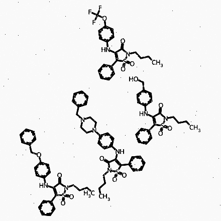 CCCCN1C(=O)C(Nc2ccc(CO)cc2)=C(c2ccccc2)S1(=O)=O.CCCCN1C(=O)C(Nc2ccc(N3CCN(Cc4ccccc4)CC3)cc2)=C(c2ccccc2)S1(=O)=O.CCCCN1C(=O)C(Nc2ccc(OC(F)(F)F)cc2)=C(c2ccccc2)S1(=O)=O.CCCCN1C(=O)C(Nc2ccc(OCc3ccccc3)cc2)=C(c2ccccc2)S1(=O)=O